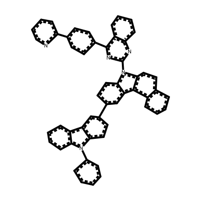 c1ccc(-n2c3ccccc3c3cc(-c4ccc5c(c4)c4c6ccccc6ccc4n5-c4nc(-c5ccc(-c6ccccn6)cc5)c5ccccc5n4)ccc32)cc1